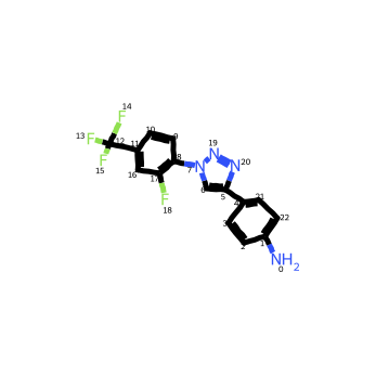 Nc1ccc(-c2cn(-c3ccc(C(F)(F)F)cc3F)nn2)cc1